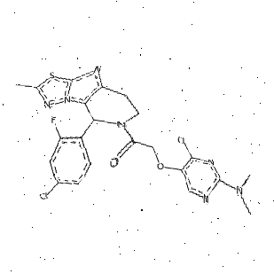 Cc1nn2c3c(nc2s1)CCN(C(=O)COc1cnc(N(C)C)nc1Cl)C3c1ccc(Cl)cc1F